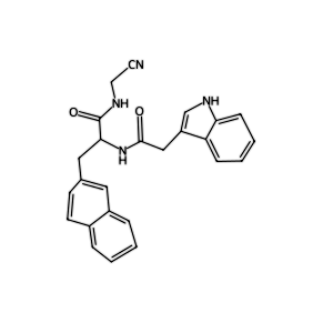 N#CCNC(=O)C(Cc1ccc2ccccc2c1)NC(=O)Cc1c[nH]c2ccccc12